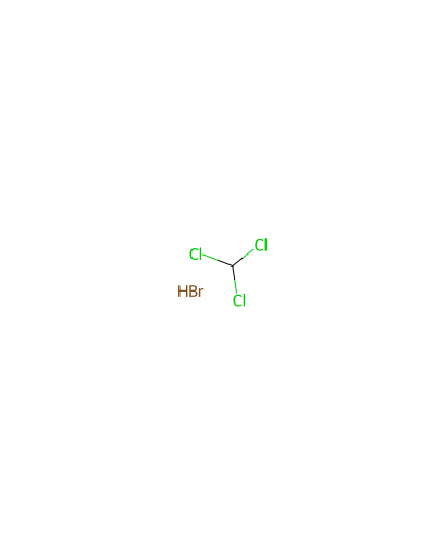 Br.ClC(Cl)Cl